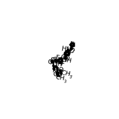 Cc1cn(C)c(=O)n(-c2ccc(C[C@H](NC(=O)c3cc(F)c(NS(=O)(=O)c4ccc(NC(=O)C5CCCC5)cc4)cc3F)C(=O)OCC(C)C)cn2)c1=O